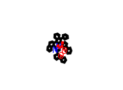 c1ccc(-c2c3ccccc3c(-c3ccc4ccccc4c3-c3nc(-c4cccc5c4oc4ccccc45)cc(-c4cccc5c4oc4ccccc45)n3)c3ccccc23)cc1